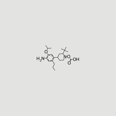 CCCc1cc(N)c(OC(C)C)cc1C1CCN(OC(=O)O)C(C(C)(C)C)C1